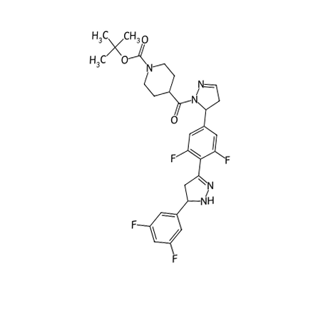 CC(C)(C)OC(=O)N1CCC(C(=O)N2N=CCC2c2cc(F)c(C3=NNC(c4cc(F)cc(F)c4)C3)c(F)c2)CC1